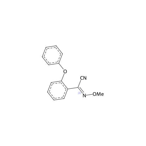 CO/N=C(\C#N)c1ccccc1Oc1ccccc1